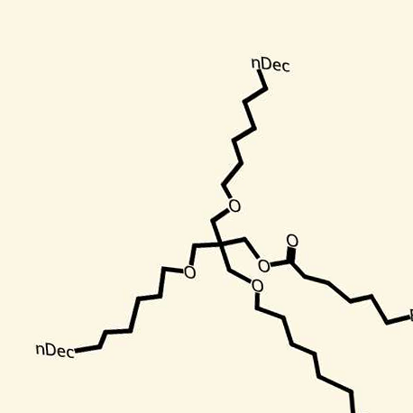 CCCCCCCCCCCCCCCCOCC(COCCCCCCCCCCCCCCCC)(COCCCCCCCCCCCCCCCC)COC(=O)CCCCCBr